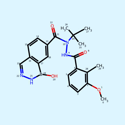 COc1cccc(C(=O)NN(C(=O)c2ccc3c(c2)B(O)NN=C3)C(C)(C)C)c1C